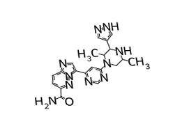 CC1CN(c2cc(-c3cnc4ccc(C(N)=O)nn34)ncn2)C(C)C(c2cn[nH]c2)N1